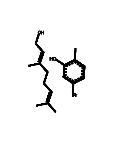 CC(C)=CCC/C(C)=C/CO.Cc1ccc(C(C)C)cc1O